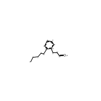 CCCCCc1ccccc1CC[C]=O